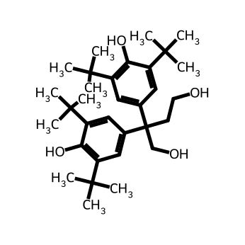 CC(C)(C)c1cc(C(CO)(CCO)c2cc(C(C)(C)C)c(O)c(C(C)(C)C)c2)cc(C(C)(C)C)c1O